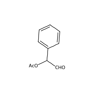 CC(=O)OC(C=O)c1ccccc1